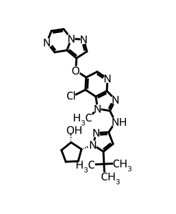 Cn1c(Nc2cc(C(C)(C)C)n([C@@H]3CCC[C@@H]3O)n2)nc2ncc(Oc3cnn4ccncc34)c(Cl)c21